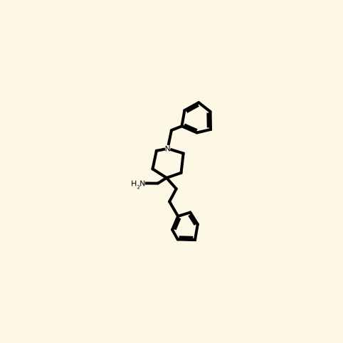 NCC1(CCc2ccccc2)CCN(Cc2ccccc2)CC1